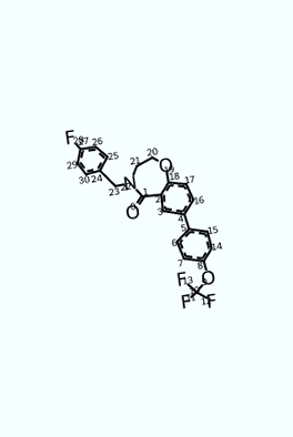 O=C1c2cc(-c3ccc(OC(F)(F)F)cc3)ccc2OCCN1Cc1ccc(F)cc1